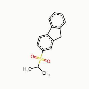 CC(C)S(=O)(=O)c1ccc2c(c1)Cc1ccccc1-2